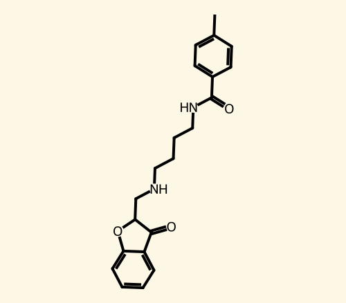 Cc1ccc(C(=O)NCCCCNCC2Oc3ccccc3C2=O)cc1